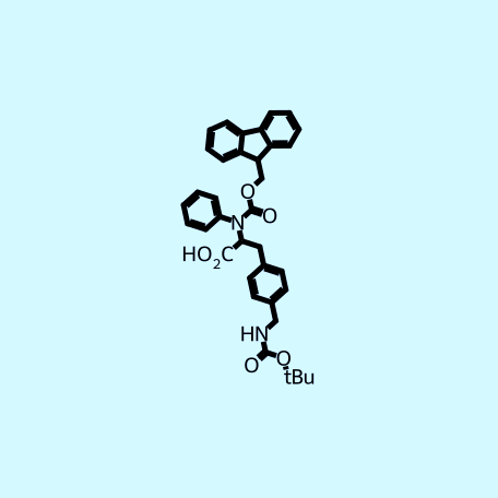 CC(C)(C)OC(=O)NCc1ccc(CC(C(=O)O)N(C(=O)OCC2c3ccccc3-c3ccccc32)c2ccccc2)cc1